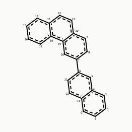 [c]1cccc2cc(-c3ccc4ccc5ccccc5c4c3)ccc12